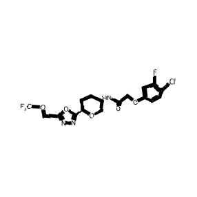 O=C(COc1ccc(Cl)c(F)c1)N[C@H]1CC[C@H](c2nnc(COC(F)(F)F)o2)OC1